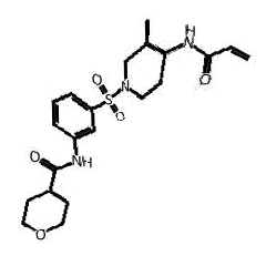 C=CC(=O)NC1CCN(S(=O)(=O)c2cccc(NC(=O)C3CCOCC3)c2)CC1C